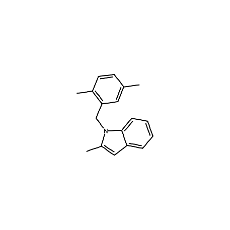 Cc1ccc(C)c(Cn2c(C)cc3ccccc32)c1